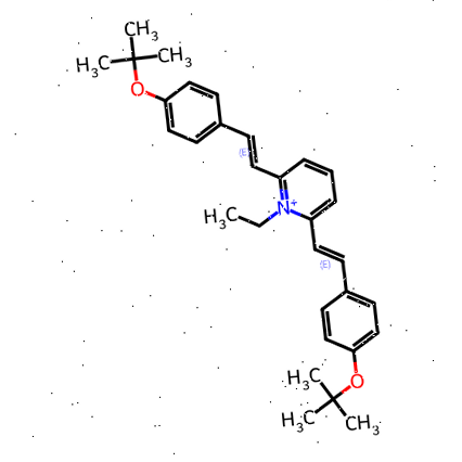 CC[n+]1c(/C=C/c2ccc(OC(C)(C)C)cc2)cccc1/C=C/c1ccc(OC(C)(C)C)cc1